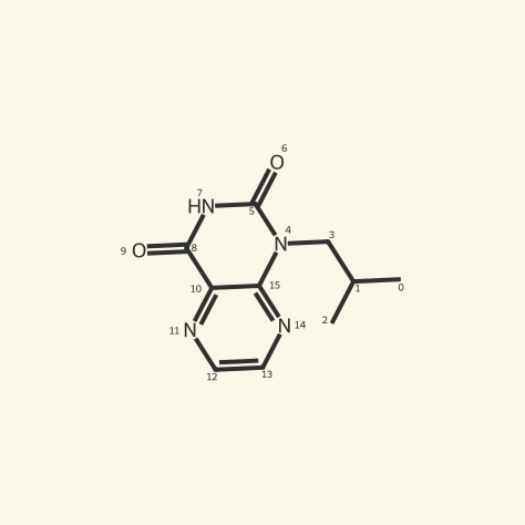 CC(C)Cn1c(=O)[nH]c(=O)c2nccnc21